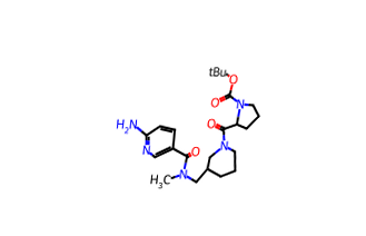 CN(CC1CCCN(C(=O)C2CCCN2C(=O)OC(C)(C)C)C1)C(=O)c1ccc(N)nc1